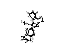 Oc1c2c(nn1-c1nc3ccccc3s1)CCc1ccccc1-2